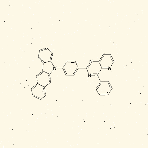 c1ccc(-c2nc(-c3ccc(-n4c5ccccc5c5cc6ccccc6cc54)cc3)nc3cccnc23)cc1